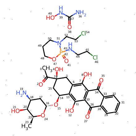 CC(=O)[C@]1(O)Cc2c(O)c3c(c(O)c2[C@@H](O[C@H]2C[C@H](N)[C@H](O)[C@H](C)O2)C1)C(=O)c1ccccc1C3=O.NC(=O)NO.O=P1(NCCCl)OCCCN1CCCl